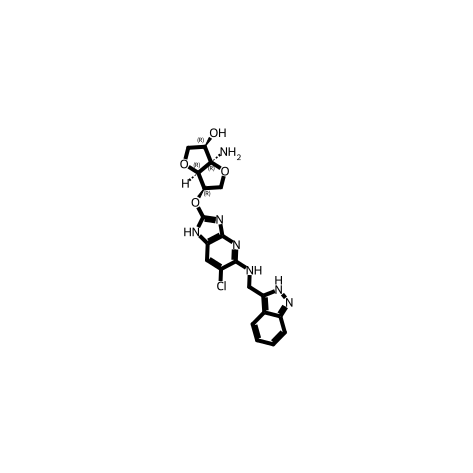 N[C@]12OC[C@@H](Oc3nc4nc(NCc5[nH]nc6ccccc56)c(Cl)cc4[nH]3)[C@H]1OC[C@H]2O